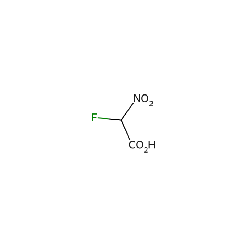 O=C(O)C(F)[N+](=O)[O-]